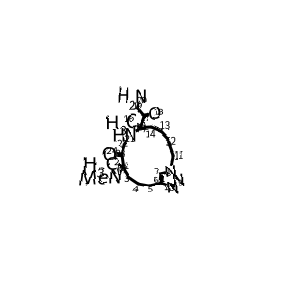 CN[C@@]1(C)CCCc2cn(nn2)CCCC[C@@](C)(C(=O)CN)NCC1=O